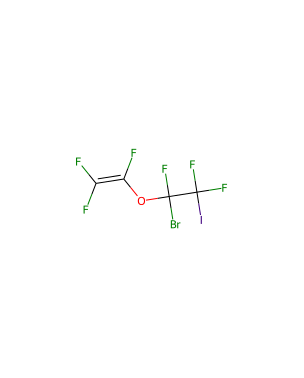 FC(F)=C(F)OC(F)(Br)C(F)(F)I